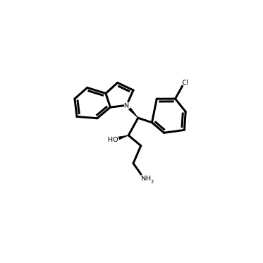 NCC[C@@H](O)[C@H](c1cccc(Cl)c1)n1ccc2ccccc21